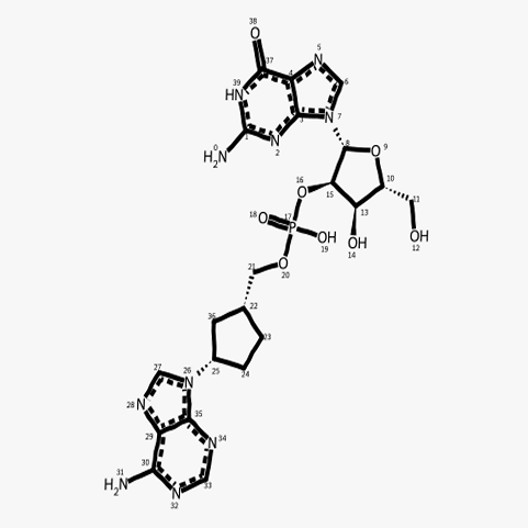 Nc1nc2c(ncn2[C@@H]2O[C@H](CO)[C@@H](O)[C@H]2OP(=O)(O)OC[C@@H]2CC[C@H](n3cnc4c(N)ncnc43)C2)c(=O)[nH]1